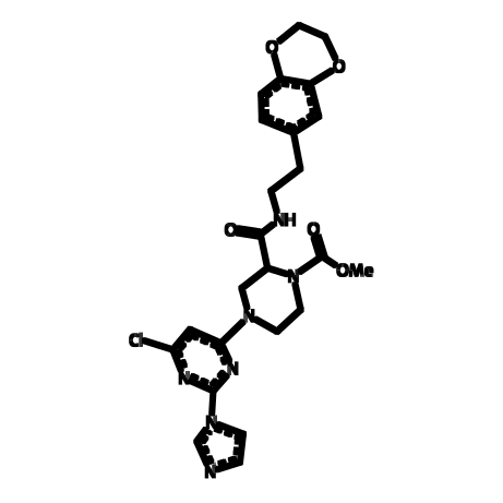 COC(=O)N1CCN(c2cc(Cl)nc(-n3ccnc3)n2)CC1C(=O)NCCc1ccc2c(c1)OCCO2